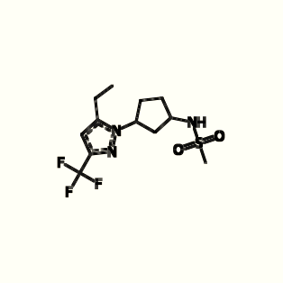 CCc1cc(C(F)(F)F)nn1C1CCC(NS(C)(=O)=O)C1